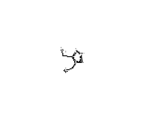 CCc1conc1CC